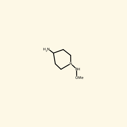 COBN1CCC(N)CC1